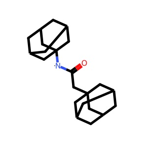 O=C(CC12CC3CC(CC(C3)C1)C2)[N]C12CC3CC(CC(C3)C1)C2